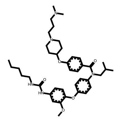 CCCCCNC(=O)Nc1ccc(Oc2ccc(N(CC(C)C)C(=O)c3ccc(OC4CCN(CCCN(C)C)CC4)cc3)cc2)c(OC)c1